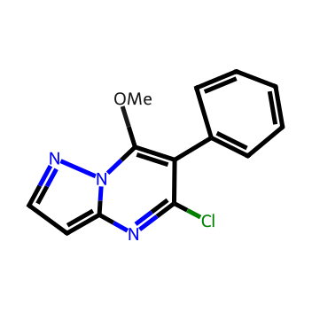 COc1c(-c2ccccc2)c(Cl)nc2ccnn12